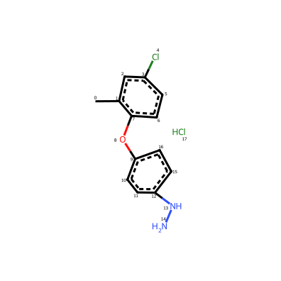 Cc1cc(Cl)ccc1Oc1ccc(NN)cc1.Cl